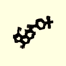 [2H]c1cc2cnc(NC3CCN(S(C)(=O)=O)CC3)nc2c2c(C(C)C)noc12